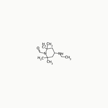 CCNC1CC(C)(C)N(C=O)C(C)(C)C1